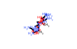 COC[C@H](NC(=O)[C@@H]1CCCN1C(=O)/C(CCCN)=N/C(=O)CNC(=O)[C@H](C)NC(=O)[C@@H](NC(=O)[C@@H](N)CCCCN)[C@@H](O)CN)C(=O)N[C@@H](CCCCN)C(=O)N/C(=C\CCNC(=N)N)C(=O)O